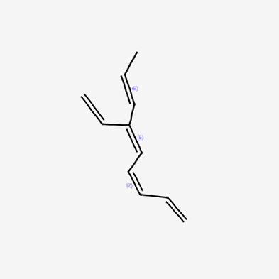 C=C\C=C/C=C(C=C)/C=C/C